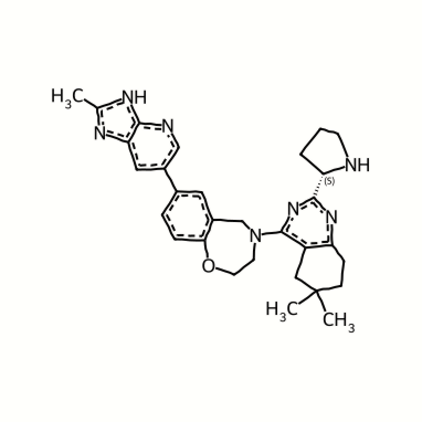 Cc1nc2cc(-c3ccc4c(c3)CN(c3nc([C@@H]5CCCN5)nc5c3CC(C)(C)CC5)CCO4)cnc2[nH]1